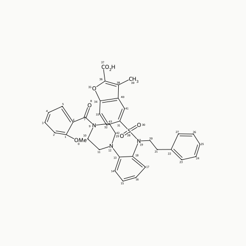 COc1ccccc1C(=O)N1CCN(c2ccccc2N(CCc2ccccc2)S(=O)(=O)c2ccc3oc(C(=O)O)c(C)c3c2)CC1